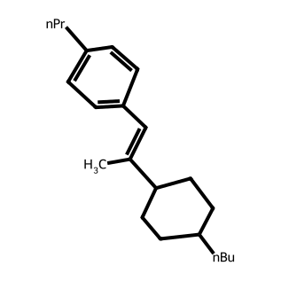 CCCCC1CCC(/C(C)=C/c2ccc(CCC)cc2)CC1